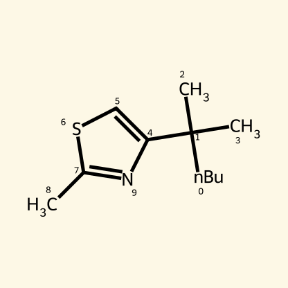 CCCCC(C)(C)c1csc(C)n1